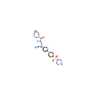 CN1CCN(S(=O)(=O)c2ccc(-c3ccc([C@@H](C#N)CNC(=O)C4CCC5CC5C4)cc3)cc2)CC1